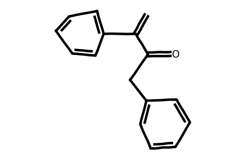 C=C(C(=O)Cc1ccccc1)c1ccccc1